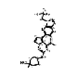 CNc1nc(NC2CCC(C)(O)CC2)nn2ccc(-c3ccc4nnn(CC(F)(F)F)c4n3)c12